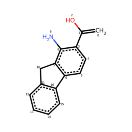 C=C(O)c1ccc2c(c1N)Cc1ccccc1-2